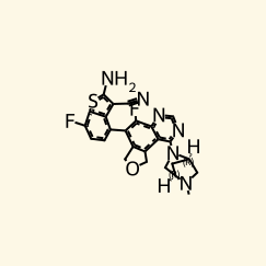 CN1C[C@H]2C[C@@H]1CN2c1ncnc2c(F)c(-c3ccc(F)c4sc(N)c(C#N)c34)c3c(c12)COC3